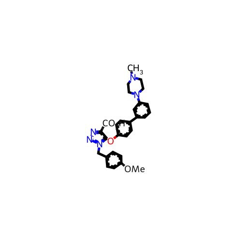 COc1ccc(Cn2nnc(C(=O)O)c2Oc2ccc(-c3cccc(N4CCN(C)CC4)c3)cc2)cc1